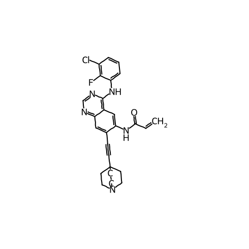 C=CC(=O)Nc1cc2c(Nc3cccc(Cl)c3F)ncnc2cc1C#CC12CCN(CC1)CC2